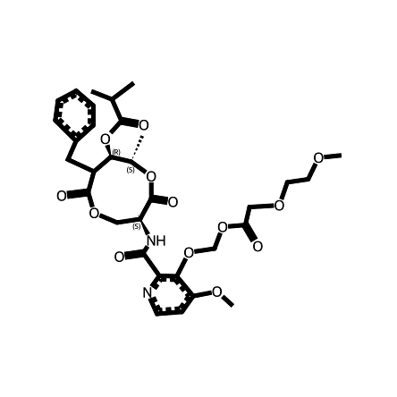 COCCOCC(=O)OCOc1c(OC)ccnc1C(=O)N[C@H]1COC(=O)C(Cc2ccccc2)[C@@H](OC(=O)C(C)C)[C@H](C)OC1=O